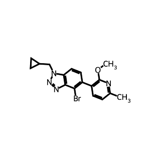 COc1nc(C)ccc1-c1ccc2c(nnn2CC2CC2)c1Br